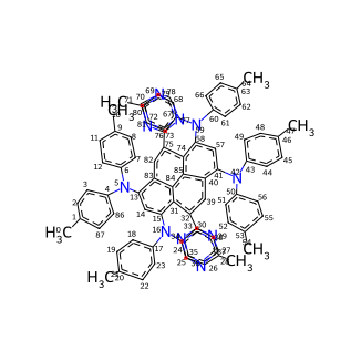 Cc1ccc(N(c2ccc(C)cc2)c2cc(N(c3ccc(C)cc3)c3ccc(C)cc3)c3c(-c4ncncn4)cc4c(N(c5ccc(C)cc5)c5ccc(C)cc5)cc(N(c5ccc(C)cc5)c5ccc(C)cc5)c5c(-c6ncncn6)cc2c3c45)cc1